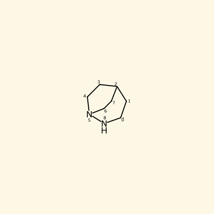 [CH]1CC2CCN(CC2)N1